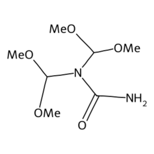 COC(OC)N(C(N)=O)C(OC)OC